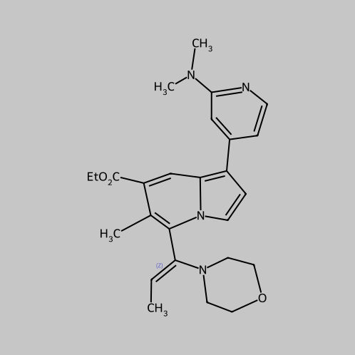 C/C=C(/c1c(C)c(C(=O)OCC)cc2c(-c3ccnc(N(C)C)c3)ccn12)N1CCOCC1